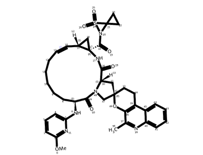 COc1cccc(N[C@H]2CCCCC/C=C\[C@@H]3C[C@@]3(C(=O)N3C4(CC4)S3(=O)=O)NC(=O)[C@@H]3C[C@]4(CCc5c(c(C)nc6ccccc56)O4)CN3C2=O)n1